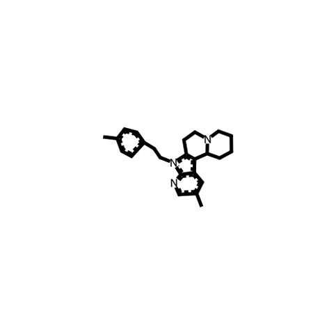 Cc1ccc(CCn2c3c(c4cc(C)cnc42)C2CCCCN2CC3)cc1